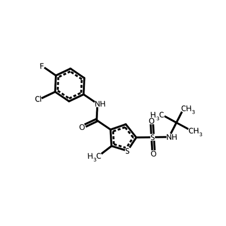 Cc1sc(S(=O)(=O)NC(C)(C)C)cc1C(=O)Nc1ccc(F)c(Cl)c1